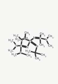 CN(C)P(C)(C)=NP(=NC(C)(C)C)(N=P(N(C)C)(N(C)C)N(C)C)N(C)C